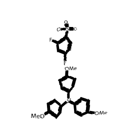 COc1ccc([S+](c2ccc(OC)cc2)c2ccc(OC)cc2)cc1.O=S(=O)([O-])c1ccc(F)cc1F